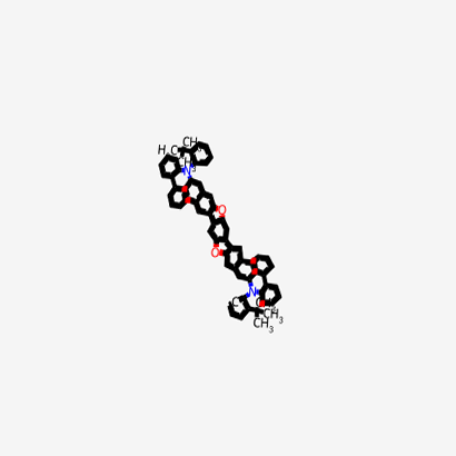 CC(C)(C)c1ccccc1N(c1ccc2cc3c(cc2c1)oc1cc2c(cc13)oc1cc3cc(N(c4ccccc4-c4ccccc4)c4ccccc4C(C)(C)C)ccc3cc12)c1ccccc1-c1ccccc1